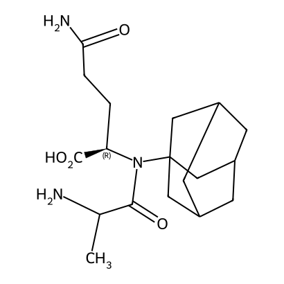 CC(N)C(=O)N([C@H](CCC(N)=O)C(=O)O)C12CC3CC(CC(C3)C1)C2